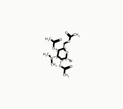 CC(=O)OC[C@H]1O[C@H](Br)[C@H](OC(C)=O)[C@H](N(C)C)[C@@H]1OC(C)=O